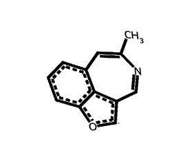 CC1=Cc2cccc3o[c]c(c23)C=N1